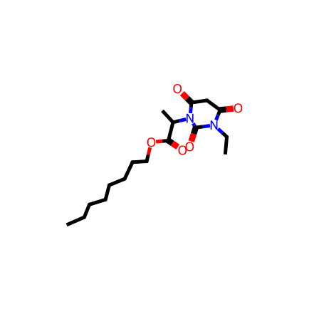 CCCCCCCCOC(=O)C(C)N1C(=O)CC(=O)N(CC)C1=O